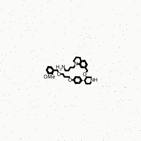 COc1ccccc1COCCCOc1ccc([C@H]2CCNC[C@@H]2OCc2ccc3c(c2)N(CCCCN)CCC3)cc1